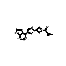 O=C(C1CC1)N1CC(n2cc(-c3ncnc4[nH]ccc34)cn2)C1